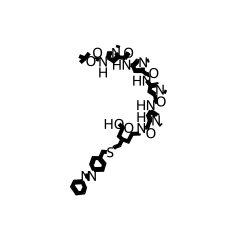 Cn1cc(NC(=O)c2cc(NC(=O)c3cc(NC(=O)c4cc(NC(=O)OC(C)(C)C)cn4C)cn3C)cn2C)cc1C(=O)NCCCC(CCSCc1ccc(N=Nc2ccccc2)cc1)CC(=O)O